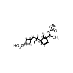 CC(=N[S+]([O-])C(C)(C)C)c1cccc(C(F)(F)CC2CN(C(=O)O)C2)c1F